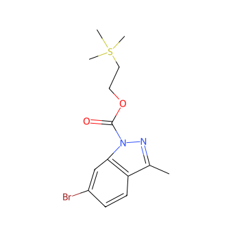 Cc1nn(C(=O)OCCS(C)(C)C)c2cc(Br)ccc12